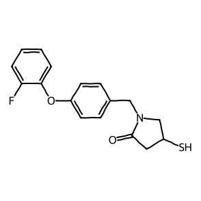 O=C1CC(S)CN1Cc1ccc(Oc2ccccc2F)cc1